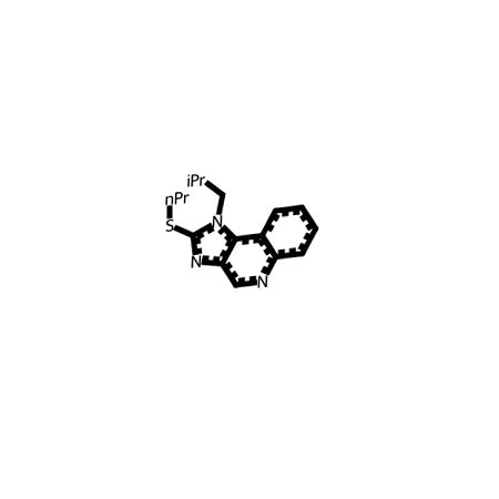 CCCSc1nc2cnc3ccccc3c2n1CC(C)C